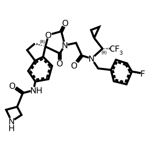 O=C(Nc1ccc2c(c1)CC[C@@]21OC(=O)N(CC(=O)N(Cc2ccc(F)cc2)[C@H](C2CC2)C(F)(F)F)C1=O)C1CNC1